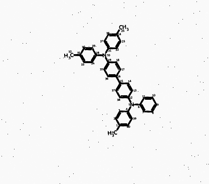 Cc1ccc(N(c2ccccc2)c2ccc(-c3ccc(N(c4ccc(C)cc4)c4ccc(C)cc4)cc3)cc2)cc1